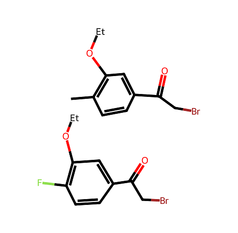 CCOc1cc(C(=O)CBr)ccc1C.CCOc1cc(C(=O)CBr)ccc1F